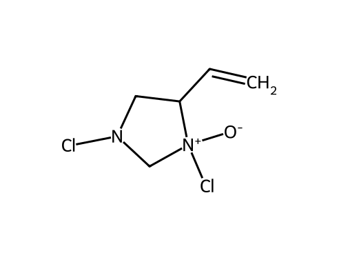 C=CC1CN(Cl)C[N+]1([O-])Cl